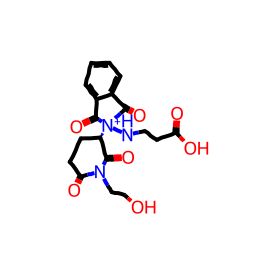 O=C(O)CCN[N+]1([C@H]2CCC(=O)N(CCO)C2=O)C(=O)c2ccccc2C1=O